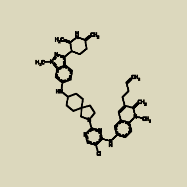 C=CCCC1=Cc2cc(Nc3nc(N4CCC5(CCC(Nc6ccc7c(C8CCC(=C)NC8=C)nn(C)c7c6)CC5)C4)ncc3Cl)ccc2N(C)C1=C